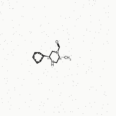 C[C@@H]1CN[C@@H](c2ccccc2)CN1C=O